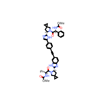 COC(=O)N[C@H](C(=O)N1CC2(CC2)C[C@H]1c1nc2ccc(C#Cc3ccc(-c4cnc([C@@H]5CC6(CC6)CN5C(=O)[C@H](NC(=O)OC)c5ccccc5)[nH]4)cc3)cc2[nH]1)C(C)C